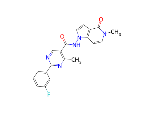 Cc1nc(-c2cccc(F)c2)ncc1C(=O)Nn1ccc2c(=O)n(C)ccc21